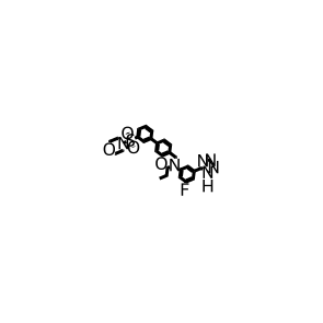 CCC(=O)N(Cc1ccc(-c2cccc(S(=O)(=O)N3CCOCC3)c2)cc1)c1cc(F)cc(-c2nnn[nH]2)c1